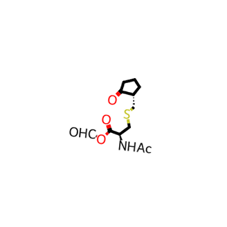 CC(=O)N[C@H](CSC[C@H]1CCCC1=O)C(=O)OC=O